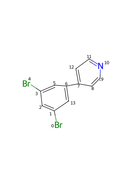 Brc1cc(Br)cc(-c2c[c]ncc2)c1